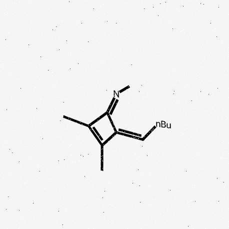 CCCC/C=C1C(C)=C(C)C/1=N/C